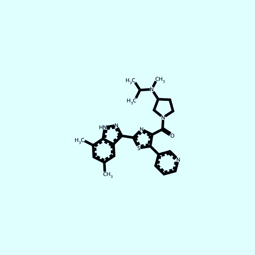 Cc1cc(C)c2[nH]nc(-c3nc(C(=O)N4CCC(N(C)C(C)C)C4)c(-c4cccnc4)s3)c2c1